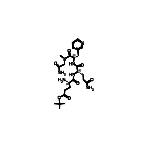 CN(CC(N)=O)C(=O)[C@H](Cc1cccnc1)NC(=O)[C@H](CCC(N)=O)NC(=O)[C@@H](N)CCC(=O)OC(C)(C)C